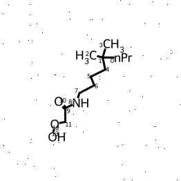 CCCC(C)(C)CCCCNC(=O)COO